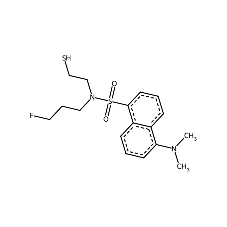 CN(C)c1cccc2c(S(=O)(=O)N(CCS)CCCF)cccc12